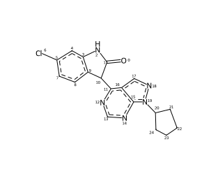 O=C1Nc2cc(Cl)ccc2C1c1ncnc2c1cnn2C1CCCC1